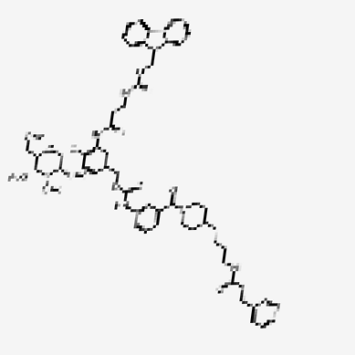 CC(=O)OC[C@H]1O[C@H](Oc2ccc(COC(=O)Nc3cccc(C(=O)N4CCC(CCCCNC(=O)/C=C/c5cccnc5)CC4)c3)cc2NC(=O)CCNC(=O)OCC2c3ccccc3-c3ccccc32)[C@@H](OC(C)=O)[C@@H](OC(C)=O)[C@@H]1OC(C)=O